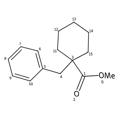 COC(=O)C1(Cc2ccccc2)CCCCC1